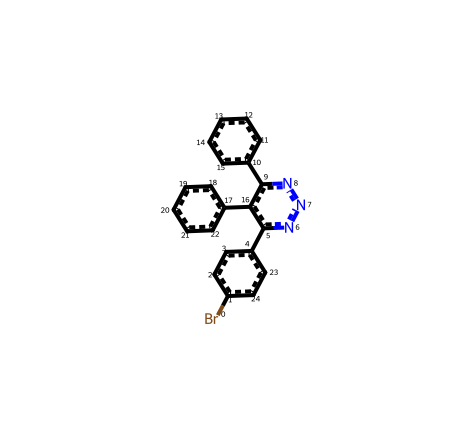 Brc1ccc(-c2nnnc(-c3ccccc3)c2-c2ccccc2)cc1